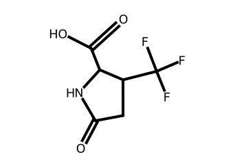 O=C1CC(C(F)(F)F)C(C(=O)O)N1